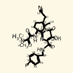 CN(C)C(=O)C(=O)NC12CCC(CC#N)(CC1)C(I)n1c2nc(C(=O)NCc2ccc(F)cc2)c(O)c1=O